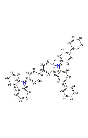 CC1(N(c2ccc(C3=CCCC=C3)cc2)c2ccc(-c3ccccc3)cc2)C=CC(c2ccc(-n3c4c(c5ccccc53)CCC=C4)cc2)=CC1